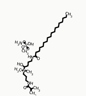 C=C(C)C(=O)NCCC[N+](C)(C)C(O)CCCNC(=O)CCCCCCCCCCCCCCCCC.COS(=O)(=O)O.N